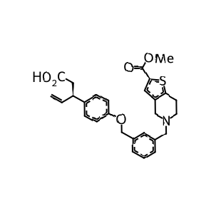 C=C[C@@H](CC(=O)O)c1ccc(OCc2cccc(CN3CCc4sc(C(=O)OC)cc4C3)c2)cc1